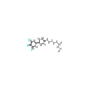 CCCC(C)CCCCCc1ccc(-c2cc(F)c(F)c(F)c2)cc1